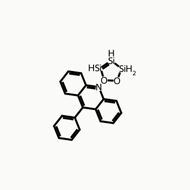 O1O[SiH2][SiH]=[SiH]1.c1ccc(-c2c3ccccc3nc3ccccc23)cc1